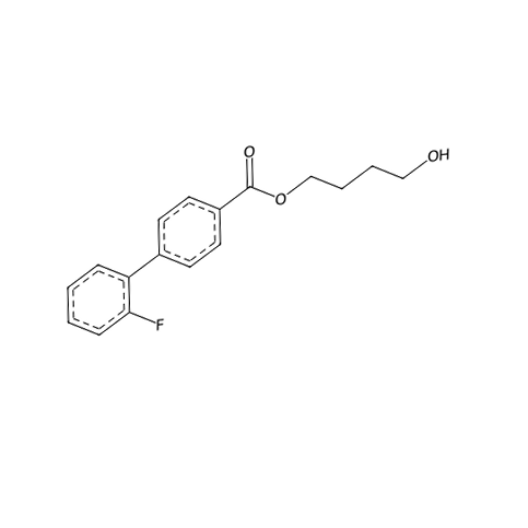 O=C(OCCCCO)c1ccc(-c2ccccc2F)cc1